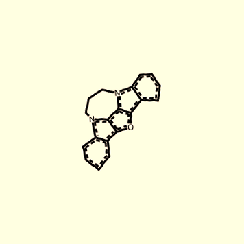 c1ccc2c(c1)c1oc3c4ccccc4n4c3c1n2CCC4